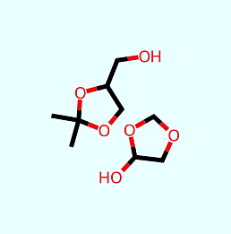 CC1(C)OCC(CO)O1.OC1COCO1